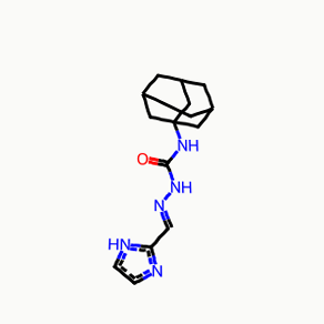 O=C(N/N=C/c1ncc[nH]1)NC12CC3CC(CC(C3)C1)C2